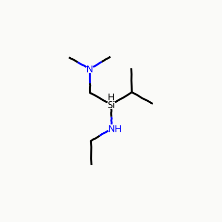 CCN[SiH](CN(C)C)C(C)C